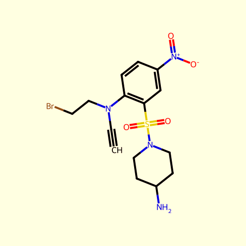 C#CN(CCBr)c1ccc([N+](=O)[O-])cc1S(=O)(=O)N1CCC(N)CC1